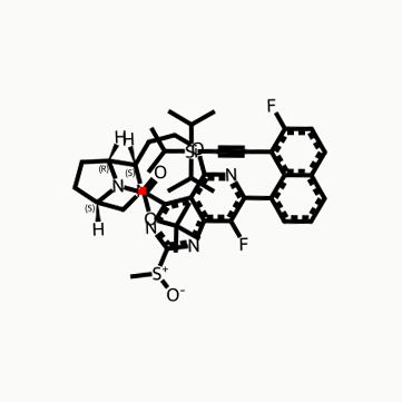 CC(C)[Si](C#Cc1c(F)ccc2cccc(-c3nc4c5c(nc([S+](C)[O-])nc5c3F)N3C[C@@H]5CC[C@H]([C@@H]3CCO4)N5C(=O)OC(C)(C)C)c12)(C(C)C)C(C)C